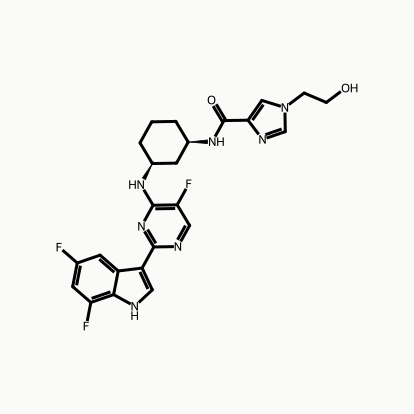 O=C(N[C@@H]1CCC[C@H](Nc2nc(-c3c[nH]c4c(F)cc(F)cc34)ncc2F)C1)c1cn(CCO)cn1